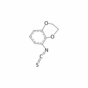 S=C=Nc1cccc2c1OCCO2